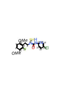 COc1ccc(OC)c(CCN(S)C(=O)Nc2ccc(Cl)cn2)c1F